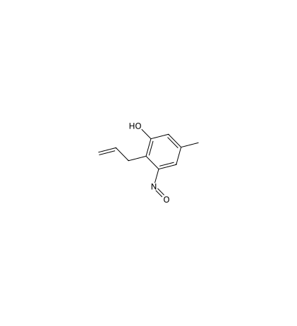 C=CCc1c(O)cc(C)cc1N=O